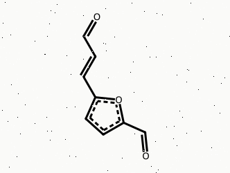 O=C/C=C/c1ccc(C=O)o1